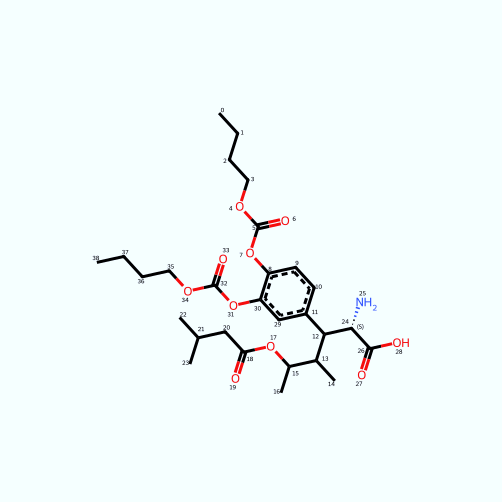 CCCCOC(=O)Oc1ccc(C(C(C)C(C)OC(=O)CC(C)C)[C@H](N)C(=O)O)cc1OC(=O)OCCCC